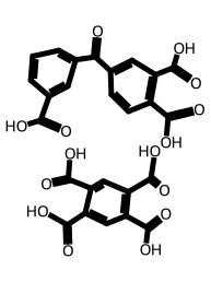 O=C(O)c1cc(C(=O)O)c(C(=O)O)cc1C(=O)O.O=C(O)c1cccc(C(=O)c2ccc(C(=O)O)c(C(=O)O)c2)c1